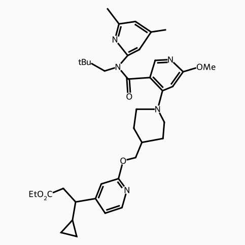 CCOC(=O)CC(c1ccnc(OCC2CCN(c3cc(OC)ncc3C(=O)N(CC(C)(C)C)c3cc(C)cc(C)n3)CC2)c1)C1CC1